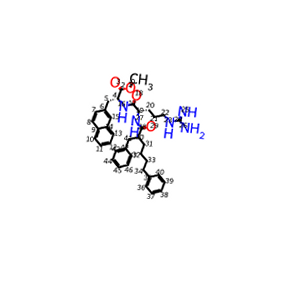 COC(=O)[C@@H](Cc1ccc2ccccc2c1)NC(=O)[C@H](CCCNC(=N)N)NC(=O)C(CCCCc1ccccc1)Cc1ccccc1